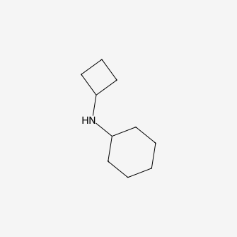 C1CCC(NC2CCC2)CC1